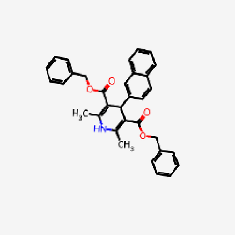 CC1=C(C(=O)OCc2ccccc2)C(c2ccc3ccccc3c2)C(C(=O)OCc2ccccc2)=C(C)N1